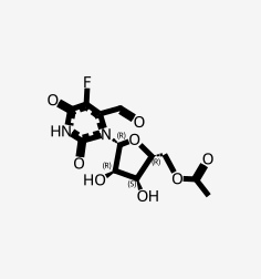 CC(=O)OC[C@H]1O[C@@H](n2c(C=O)c(F)c(=O)[nH]c2=O)[C@H](O)[C@@H]1O